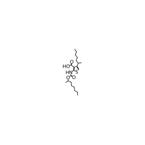 CCCCCCC(C)OC(=O)Nc1scc(C(C)CCCCC)c1C(=O)O